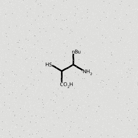 CCCCC(N)C(S)C(=O)O